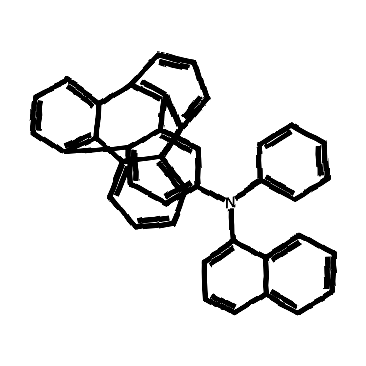 c1ccc(N(c2ccc3c(c2)-c2c4cccc2-c2cccc-3c2-c2ccccc2-4)c2cccc3ccccc23)cc1